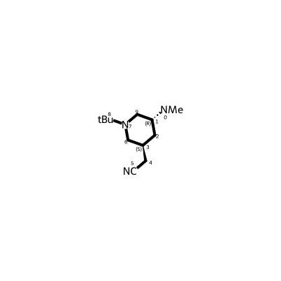 CN[C@@H]1C[C@@H](CC#N)CN(C(C)(C)C)C1